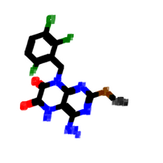 CCCCSc1nc(N)c2[nH]c(=O)c(=O)n(Cc3c(F)ccc(Cl)c3F)c2n1